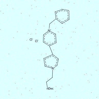 CCCCCCCCCCCC[n+]1ccc(-c2cc[n+](Cc3ccccc3)cc2)cc1.[Cl-].[Cl-]